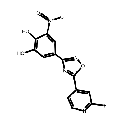 O=[N+]([O-])c1cc(-c2noc(-c3ccnc(F)c3)n2)cc(O)c1O